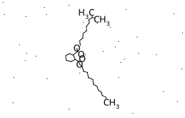 CCCCCCCCCCCCOC(=O)C1CCCCC1C(=O)OCCCCCCCCC(C)C